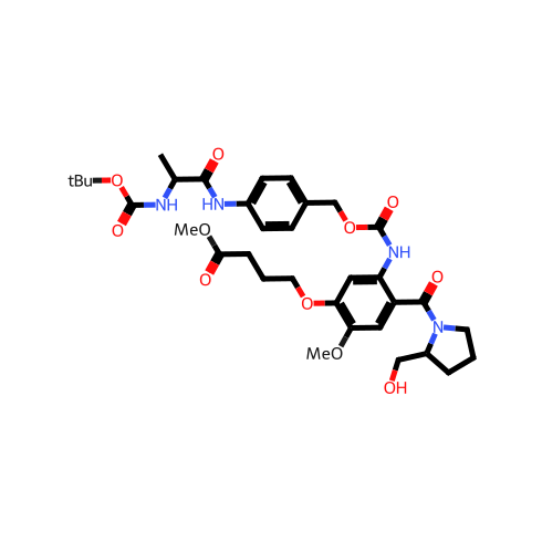 COC(=O)CCCOc1cc(NC(=O)OCc2ccc(NC(=O)C(C)NC(=O)OC(C)(C)C)cc2)c(C(=O)N2CCCC2CO)cc1OC